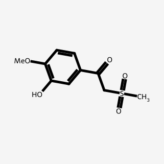 COc1ccc(C(=O)CS(C)(=O)=O)cc1O